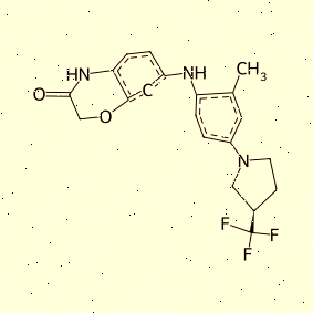 Cc1cc(N2CC[C@@H](C(F)(F)F)C2)ccc1Nc1ccc2c(c1)OCC(=O)N2